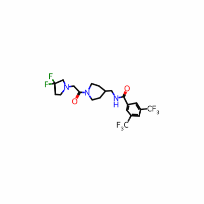 O=C(NCC1CCN(C(=O)CN2CCC(F)(F)C2)CC1)c1cc(C(F)(F)F)cc(C(F)(F)F)c1